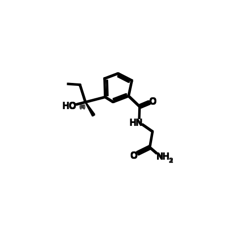 CC[C@@](C)(O)c1cccc(C(=O)NCC(N)=O)c1